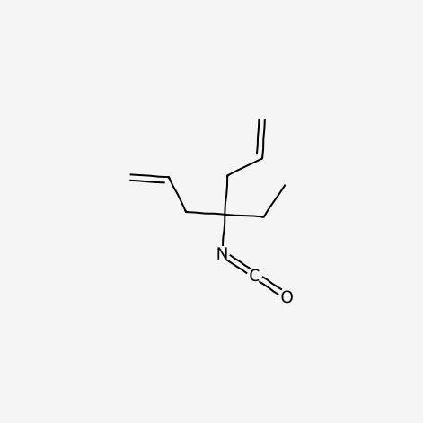 C=CCC(CC)(CC=C)N=C=O